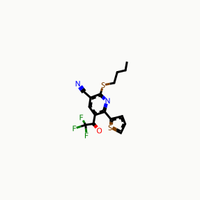 CCCCSc1nc(-c2cccs2)c(C(=O)C(F)(F)F)cc1C#N